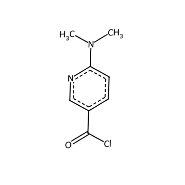 CN(C)c1ccc(C(=O)Cl)cn1